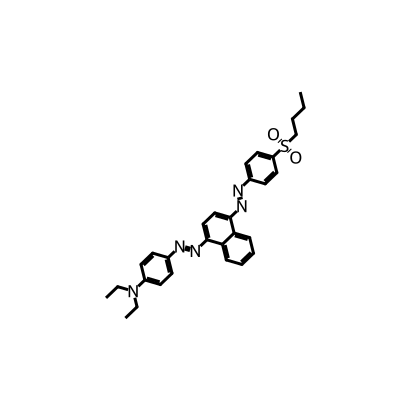 CCCCS(=O)(=O)c1ccc(N=Nc2ccc(N=Nc3ccc(N(CC)CC)cc3)c3ccccc23)cc1